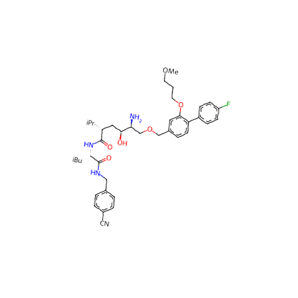 CC[C@H](C)[C@H](NC(=O)[C@@H](C[C@H](O)[C@@H](N)COCc1ccc(-c2ccc(F)cc2)c(OCCCOC)c1)C(C)C)C(=O)NCc1ccc(C#N)cc1